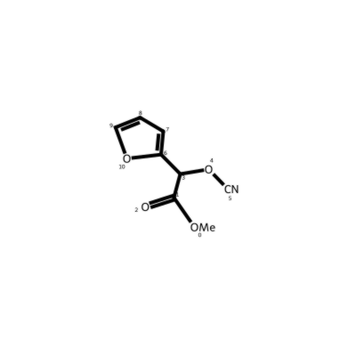 COC(=O)C(OC#N)c1ccco1